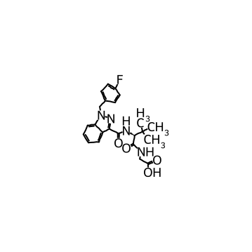 CC(C)(C)[C@H](NC(=O)c1nn(Cc2ccc(F)cc2)c2ccccc12)C(=O)NCC(=O)O